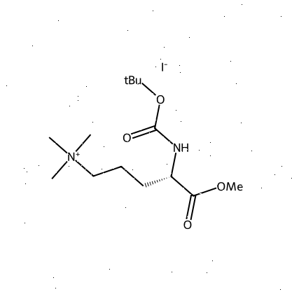 COC(=O)[C@H](CCC[N+](C)(C)C)NC(=O)OC(C)(C)C.[I-]